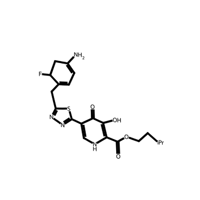 CC(C)CCOC(=O)c1[nH]cc(-c2nnc(CC3=CC=C(N)CC3F)s2)c(=O)c1O